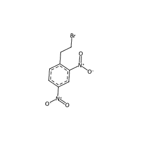 O=[N+]([O-])c1ccc(CCBr)c([N+](=O)[O-])c1